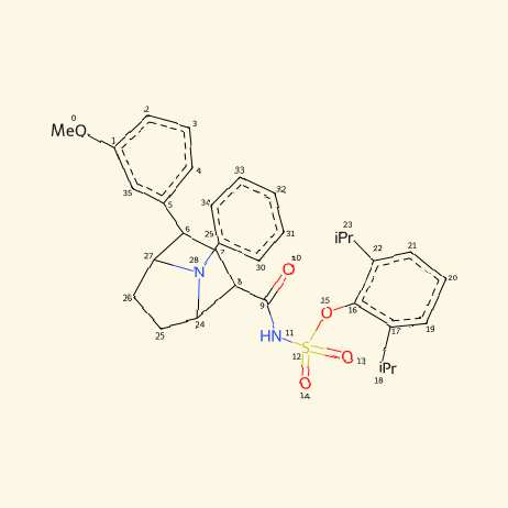 COc1cccc(C2CC(C(=O)NS(=O)(=O)Oc3c(C(C)C)cccc3C(C)C)C3CCC2N3c2ccccc2)c1